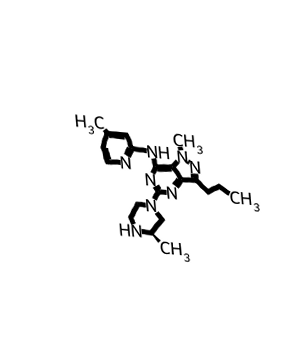 CCCc1nn(C)c2c(Nc3cc(C)ccn3)nc(N3CCN[C@H](C)C3)nc12